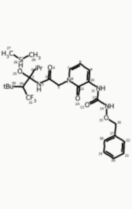 CC(C)C(NC(=O)Cn1cccc(NC(=O)NOCc2ccccc2)c1=O)(O[SiH](C)C)C(C(C)(C)C)C(F)(F)F